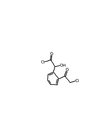 O=C(CCl)c1ccccc1C(O)C(=O)Cl